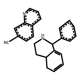 C1=CCC2CCNC(c3ccccc3)C2=C1.N#Cc1ccc2cccnc2c1